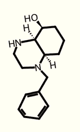 O[C@H]1CCC[C@@H]2[C@H]1NCCN2Cc1ccccc1